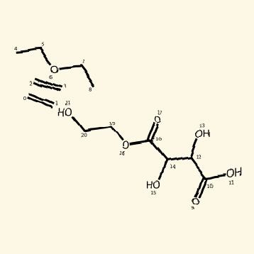 C=C.C=C.CCOCC.O=C(O)C(O)C(O)C(=O)OCCO